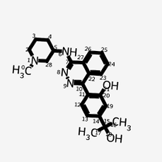 CN1CCCC(Nc2nnc(-c3ccc(C(C)(C)O)cc3O)c3ccccc23)C1